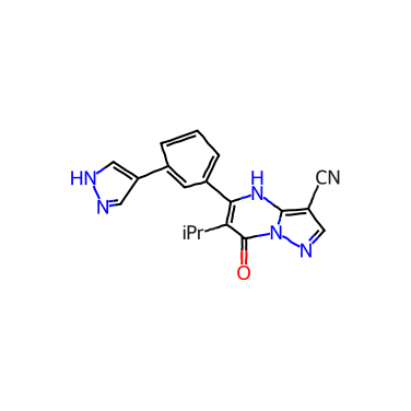 CC(C)c1c(-c2cccc(-c3cn[nH]c3)c2)[nH]c2c(C#N)cnn2c1=O